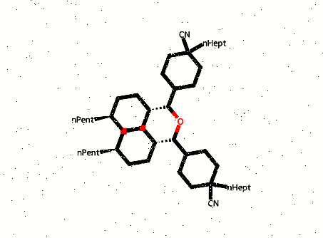 CCCCCCCC1(C#N)CCC(C(OC(C2CCC(C#N)(CCCCCCC)CC2)[C@H]2CC[C@H](CCCCC)CC2)[C@H]2CC[C@H](CCCCC)CC2)CC1